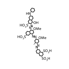 COc1cc(N=Nc2ccc3cc(S(=O)(=O)O)cc(S(=O)(=O)O)c3c2)c(C)cc1N=Nc1cc(OC)c(N=Nc2c(S(=O)(=O)O)cc3cc(Nc4ccccc4)ccc3c2O)c2ccc(S(=O)(=O)O)cc12